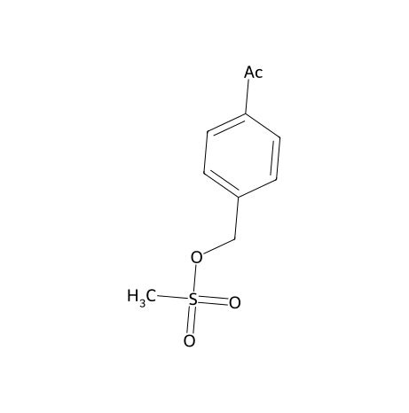 CC(=O)c1ccc(COS(C)(=O)=O)cc1